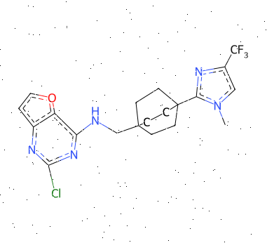 Cn1cc(C(F)(F)F)nc1C12CCC(CNc3nc(Cl)nc4ccoc34)(CC1)CC2